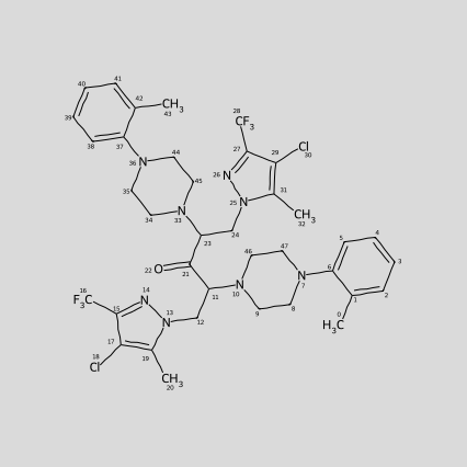 Cc1ccccc1N1CCN(C(Cn2nc(C(F)(F)F)c(Cl)c2C)C(=O)C(Cn2nc(C(F)(F)F)c(Cl)c2C)N2CCN(c3ccccc3C)CC2)CC1